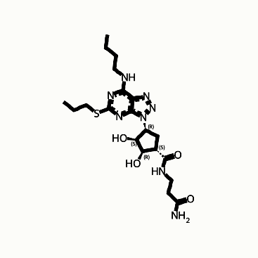 CCCCNc1nc(SCCC)nc2c1nnn2[C@@H]1C[C@H](C(=O)NCCC(N)=O)[C@@H](O)[C@H]1O